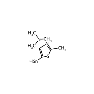 CN(C)C.Cc1nc[c]([SnH])s1